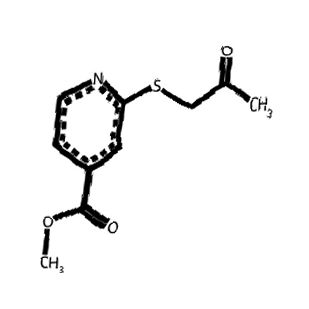 COC(=O)c1ccnc(SCC(C)=O)c1